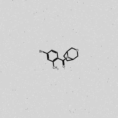 Cc1cc(Br)ccc1C(=O)N1C2CCC1COC2